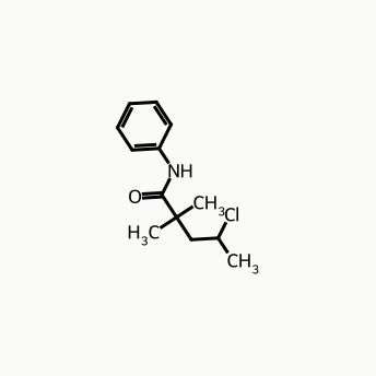 CC(Cl)CC(C)(C)C(=O)Nc1ccccc1